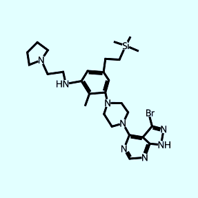 Cc1c(NCCN2CCCC2)cc(CC[Si](C)(C)C)cc1N1CCN(c2ncnc3[nH]nc(Br)c23)CC1